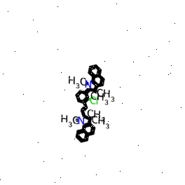 CN1C(=C2CCCC(C=CC3N(C)c4c(ccc5ccccc45)C3(C)C)=C2Cl)C(C)(C)c2ccc3ccccc3c21